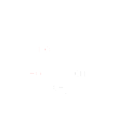 CCO.[CH2]O